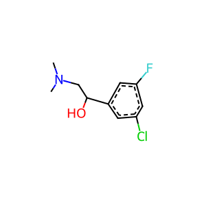 CN(C)CC(O)c1cc(F)cc(Cl)c1